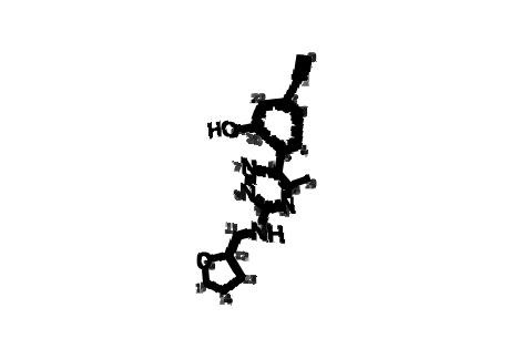 C#Cc1ccc(-c2nnc(NCC3CCCO3)nc2C)c(O)c1